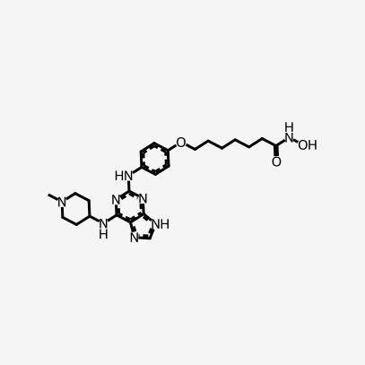 CN1CCC(Nc2nc(Nc3ccc(OCCCCCCC(=O)NO)cc3)nc3[nH]cnc23)CC1